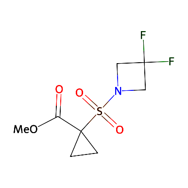 COC(=O)C1(S(=O)(=O)N2CC(F)(F)C2)CC1